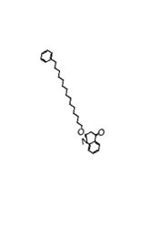 O=C1CC(OCCCCCCCCCCCCCCCc2ccccc2)=Nc2ccccc21